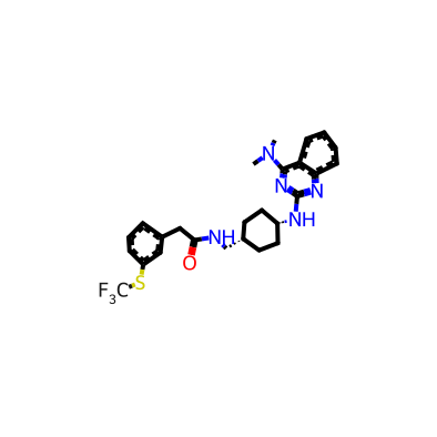 CN(C)c1nc(N[C@H]2CC[C@@H](CNC(=O)Cc3cccc(SC(F)(F)F)c3)CC2)nc2ccccc12